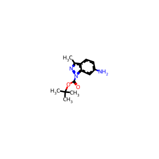 Cc1nn(C(=O)OC(C)(C)C)c2cc(N)ccc12